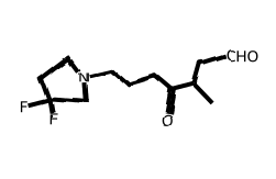 CC(CC=O)C(=O)CCCN1CCC(F)(F)C1